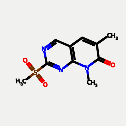 Cc1cc2cnc(S(C)(=O)=O)nc2n(C)c1=O